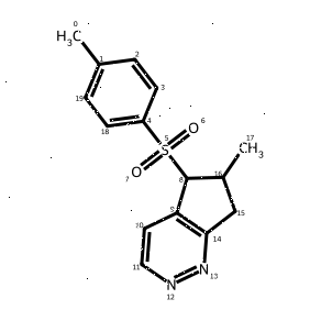 Cc1ccc(S(=O)(=O)C2c3ccnnc3CC2C)cc1